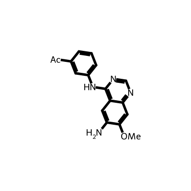 COc1cc2ncnc(Nc3cccc(C(C)=O)c3)c2cc1N